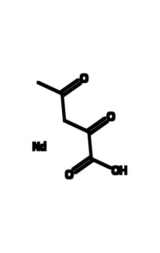 CC(=O)CC(=O)C(=O)O.[Nd]